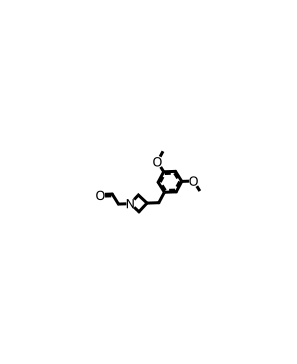 COc1cc(CC2CN(CC=O)C2)cc(OC)c1